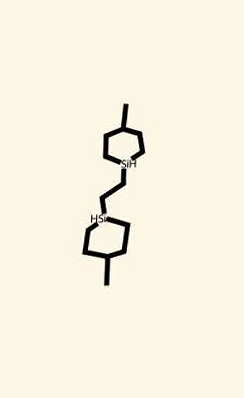 CC1CC[SiH](CC[SiH]2CCC(C)CC2)CC1